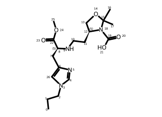 CCCn1cnc(C[C@H](NCC[C@H]2COC(C)(C)N2C(=O)O)C(=O)OC)c1